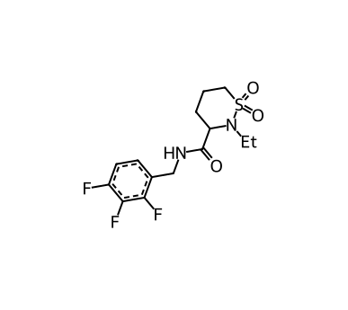 CCN1C(C(=O)NCc2ccc(F)c(F)c2F)CCCS1(=O)=O